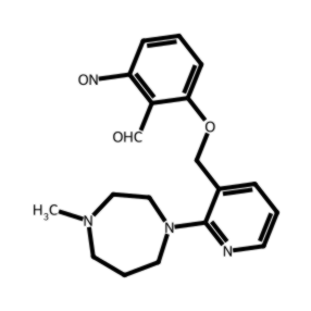 CN1CCCN(c2ncccc2COc2cccc(N=O)c2C=O)CC1